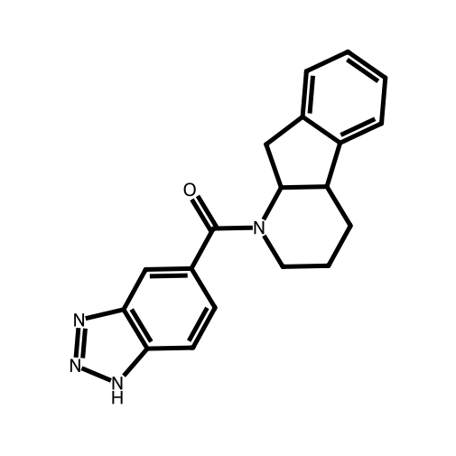 O=C(c1ccc2[nH]nnc2c1)N1CCCC2c3ccccc3CC21